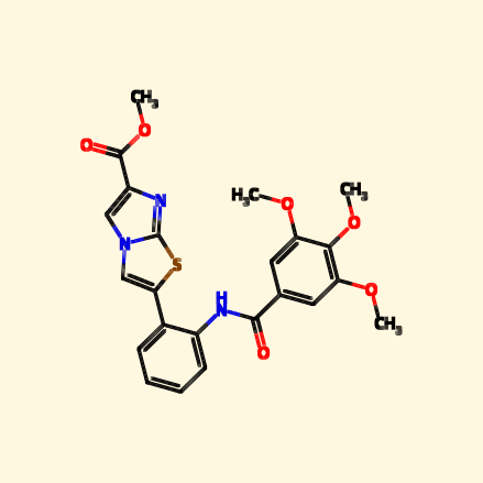 COC(=O)c1cn2cc(-c3ccccc3NC(=O)c3cc(OC)c(OC)c(OC)c3)sc2n1